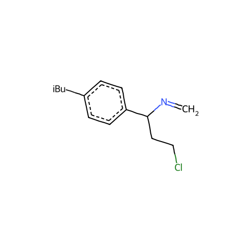 C=NC(CCCl)c1ccc(C(C)CC)cc1